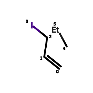 C=CCI.CCC